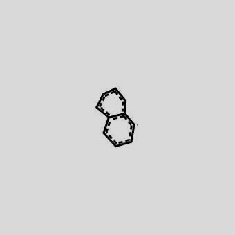 [c]1cccc2ccccc12